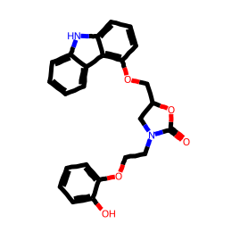 O=C1OC(COc2cccc3[nH]c4ccccc4c23)CN1CCOc1ccccc1O